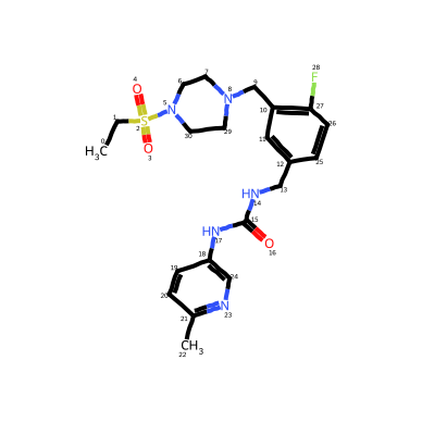 CCS(=O)(=O)N1CCN(Cc2cc(CNC(=O)Nc3ccc(C)nc3)ccc2F)CC1